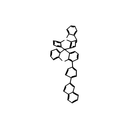 c1ccc2c(c1)Sc1c(-c3ccc(-c4ccc5ccccc5c4)cc3)cccc1C21c2ccccc2-n2c3ccccc3c3cccc1c32